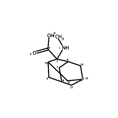 CNC1(C(=O)O)C2CC3CC1CP(C3)C2